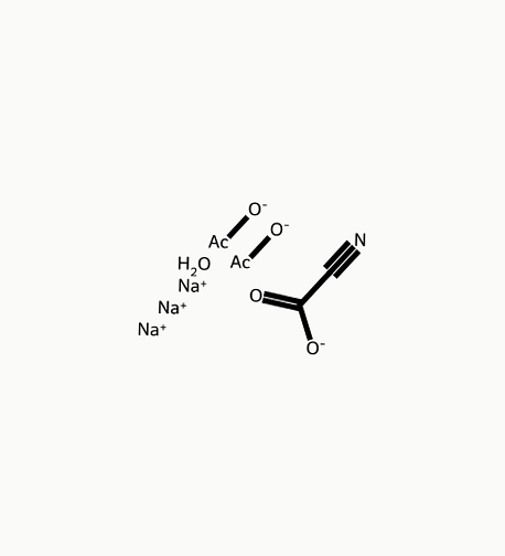 CC(=O)[O-].CC(=O)[O-].N#CC(=O)[O-].O.[Na+].[Na+].[Na+]